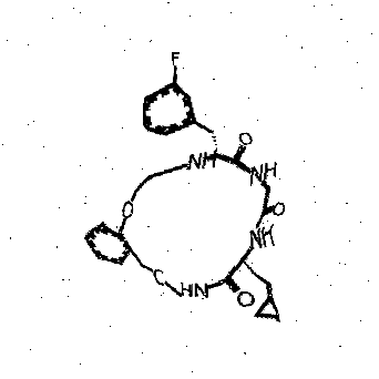 O=C1CNC(=O)[C@@H](Cc2cccc(F)c2)NCCOc2ccccc2CCCNC(=O)[C@H](CC2CC2)N1